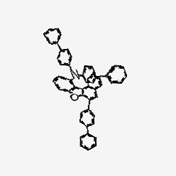 c1ccc(-c2ccc(-c3cc4ccccc4c4c3oc3cccc(N(c5ccc(-c6ccccc6)cc5)c5ccc(-c6ccccc6)cc5)c34)cc2)cc1